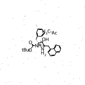 CC(C)(C)OC(=O)N[C@H](Cc1ccccc1)[C@@H](O)[C@H](N)Cc1cccc2ccccc12.CC(C)=O